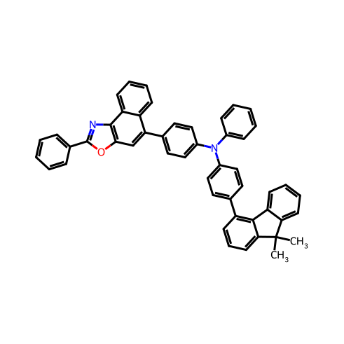 CC1(C)c2ccccc2-c2c(-c3ccc(N(c4ccccc4)c4ccc(-c5cc6oc(-c7ccccc7)nc6c6ccccc56)cc4)cc3)cccc21